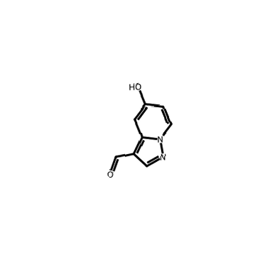 O=Cc1cnn2ccc(O)cc12